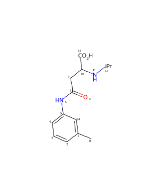 Cc1cccc(NC(=O)CC(NC(C)C)C(=O)O)c1